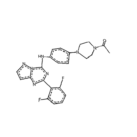 CC(=O)N1CCN(c2ccc(Nc3nc(-c4c(F)cccc4F)nc4ccnn34)cc2)CC1